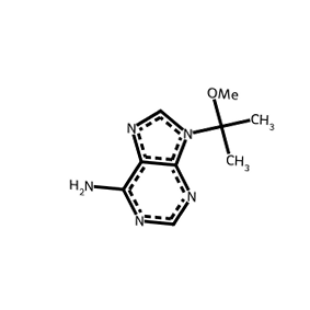 [CH2]OC(C)(C)n1cnc2c(N)ncnc21